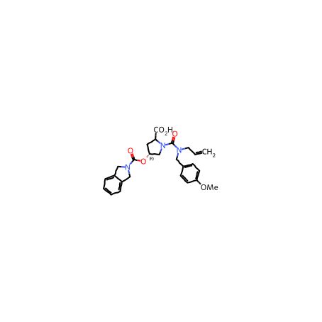 C=CCN(Cc1ccc(OC)cc1)C(=O)N1C[C@H](OC(=O)N2Cc3ccccc3C2)CC1C(=O)O